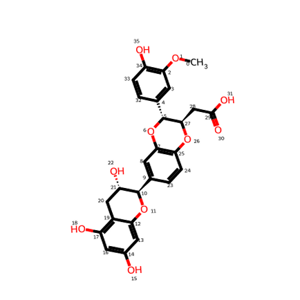 COc1cc([C@H]2Oc3cc([C@H]4Oc5cc(O)cc(O)c5C[C@@H]4O)ccc3O[C@@H]2CC(=O)O)ccc1O